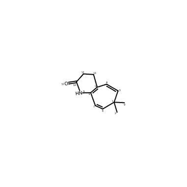 CC1(C)C=CC2=C(C=C1)NC(=O)CC2